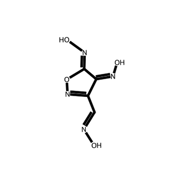 O/N=C1\ON=C(/C=N/O)\C1=N\O